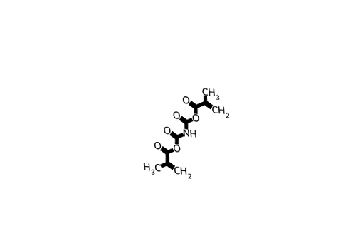 C=C(C)C(=O)OC(=O)NC(=O)OC(=O)C(=C)C